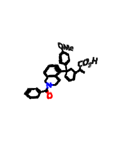 COc1ccc(C2(c3cccc4c3CCN(C(=O)c3ccccc3)C4)C=CC=C(C(C)C(=O)O)C2)cc1